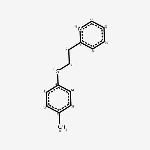 Cc1ccc(SCCc2ccccn2)cc1